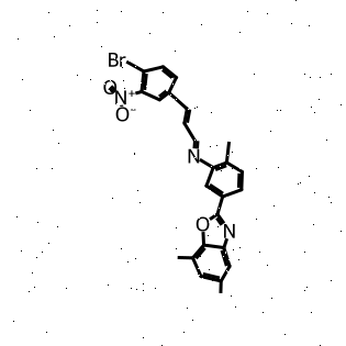 Cc1cc(C)c2oc(-c3ccc(C)c(/N=C/C=C/c4ccc(Br)c([N+](=O)[O-])c4)c3)nc2c1